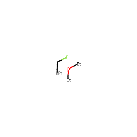 CCCCF.CCOCC